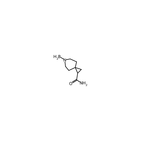 BN1CCC2(CC1)CC2C(N)=O